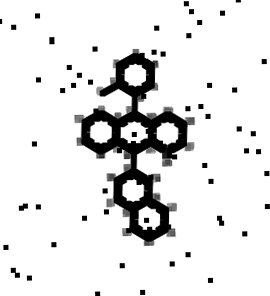 Cc1ccccc1-c1c2ccccc2c(-c2ccc3ccccc3c2)c2ncccc12